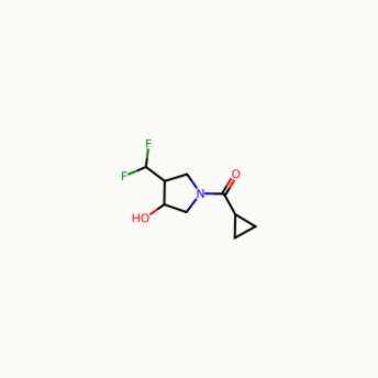 O=C(C1CC1)N1CC(O)C(C(F)F)C1